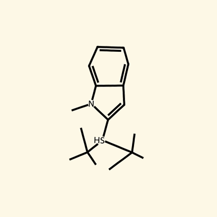 Cn1c([SH](C(C)(C)C)C(C)(C)C)cc2ccccc21